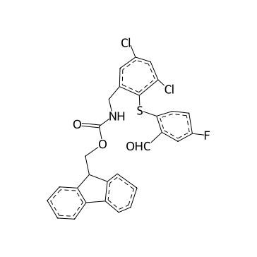 O=Cc1cc(F)ccc1Sc1c(Cl)cc(Cl)cc1CNC(=O)OCC1c2ccccc2-c2ccccc21